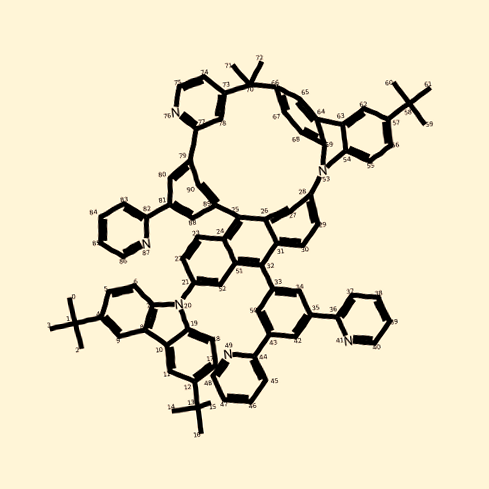 CC(C)(C)c1ccc2c(c1)c1cc(C(C)(C)C)ccc1n2-c1ccc2c3c4cc(ccc4c(-c4cc(-c5ccccn5)cc(-c5ccccn5)c4)c2c1)-n1c2ccc(C(C)(C)C)cc2c2cc(ccc21)C(C)(C)c1ccnc(c1)-c1cc(-c2ccccn2)cc-3c1